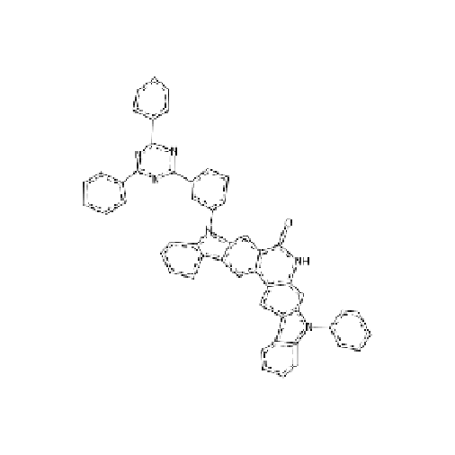 O=c1[nH]c2cc3c(cc2c2cc4c5ccccc5n(-c5cccc(-c6nc(-c7ccccc7)nc(-c7ccccc7)n6)c5)c4cc12)c1ccccc1n3-c1ccccc1